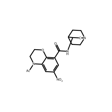 CC(=O)N1CCOc2c(C(=O)NC3CN4CCC3CC4)cc([N+](=O)[O-])cc21